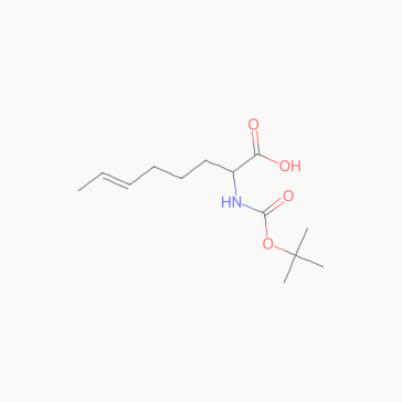 CC=CCCCC(NC(=O)OC(C)(C)C)C(=O)O